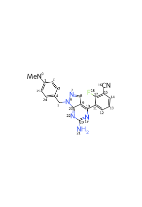 CNc1ccc(Cn2ncc3c(-c4cccc(C#N)c4F)nc(N)nc32)cc1